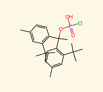 Cc1ccc(C(C)(OP(=O)(O)Cl)c2ccc(C)cc2C(C)(C)C)c(C(C)(C)C)c1